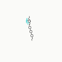 CCCC1=CC=C(/C=C/C2CCC(C3CCC(C4CCC(CCC)CC4)CC3)CC2)C(F)(F)C1(F)F